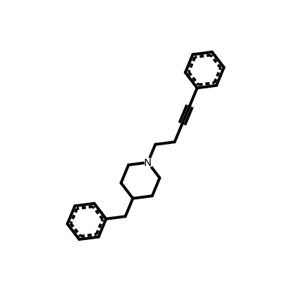 C(#Cc1ccccc1)CCN1CCC(Cc2ccccc2)CC1